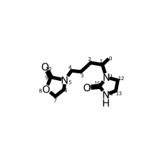 CC(CCCN1CCOC1=O)N1CCNC1=O